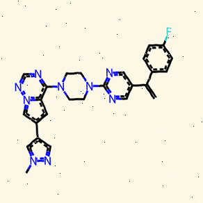 C=C(c1ccc(F)cc1)c1cnc(N2CCN(c3ncnn4cc(-c5cnn(C)c5)cc34)CC2)nc1